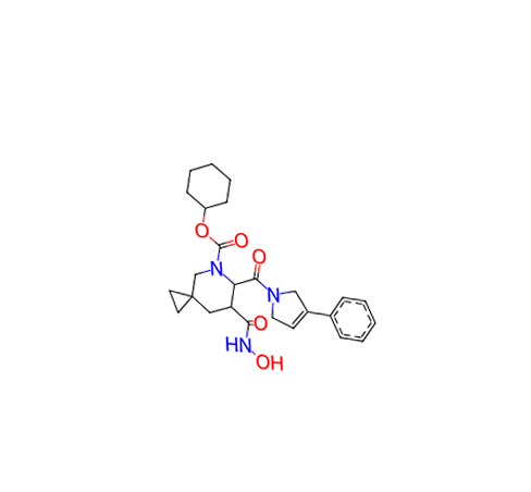 O=C(NO)C1CC2(CC2)CN(C(=O)OC2CCCCC2)C1C(=O)N1CC=C(c2ccccc2)C1